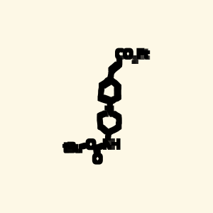 CCOC(=O)C=Cc1ccc(N2CCC(NC(=O)OC(C)(C)C)CC2)cc1